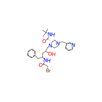 CC(C)(C)NC(=O)[C@@H]1CN(Cc2cccnc2)CCN1C[C@@H](O)CC(Cc1ccccc1)NC(=O)CBr